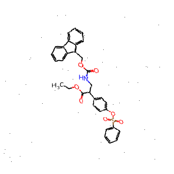 CCOC(=O)C(CNC(=O)OCC1c2ccccc2-c2ccccc21)c1ccc(OS(=O)(=O)c2ccccc2)cc1